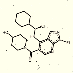 CCn1ncc2c(N[C@H](C)C3CCCCC3)c(C(=O)N3CCC(O)CC3)cnc21